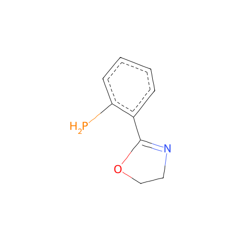 Pc1ccccc1C1=NCCO1